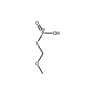 COCS[PH](=O)O